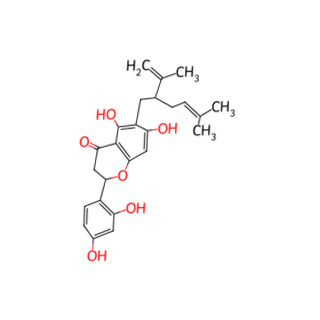 C=C(C)C(CC=C(C)C)Cc1c(O)cc2c(c1O)C(=O)CC(c1ccc(O)cc1O)O2